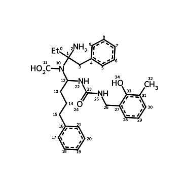 CCC(N)(Cc1ccccc1)N(C(=O)O)C(CCCc1ccccc1)NC(=O)NCc1cccc(C)c1O